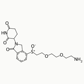 NCCOCCOCC[S+]([O-])c1cccc2c1CN(C1CCC(=O)NC1=O)C2=O